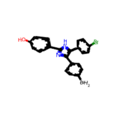 Bc1ccc(-c2nc(-c3ccc(O)cc3)[nH]c2-c2ccc(Br)cc2)cc1